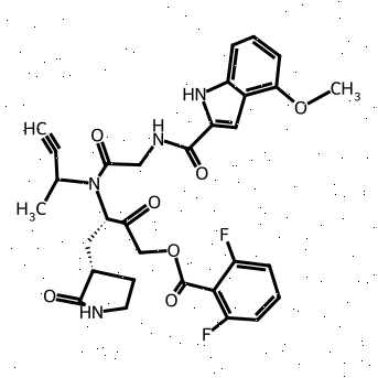 C#CC(C)N(C(=O)CNC(=O)c1cc2c(OC)cccc2[nH]1)[C@@H](C[C@@H]1CCNC1=O)C(=O)COC(=O)c1c(F)cccc1F